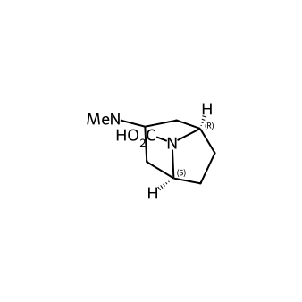 CNC1C[C@H]2CC[C@@H](C1)N2C(=O)O